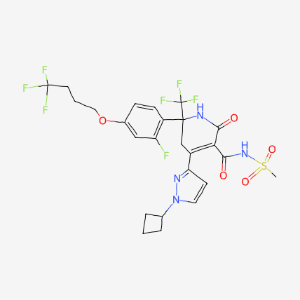 CS(=O)(=O)NC(=O)C1=C(c2ccn(C3CCC3)n2)CC(c2ccc(OCCCC(F)(F)F)cc2F)(C(F)(F)F)NC1=O